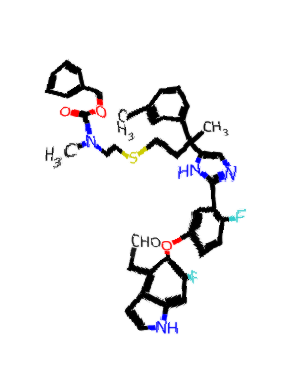 Cc1cccc(C(C)(CCSCCN(C)C(=O)OCc2ccccc2)c2cnc(-c3cc(Oc4c(F)cc5[nH]ccc5c4CC=O)ccc3F)[nH]2)c1